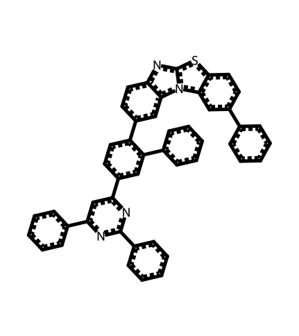 c1ccc(-c2ccc3sc4nc5ccc(-c6ccc(-c7cc(-c8ccccc8)nc(-c8ccccc8)n7)cc6-c6ccccc6)cc5n4c3c2)cc1